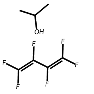 CC(C)O.FC(F)=C(F)C(F)=C(F)F